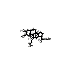 COC(=O)C1CC[C@H]2[C@@H]3CCC4CC(O)C(O)C[C@]4(C)[C@@H]3C(NCCC(C)C)C[C@]12C